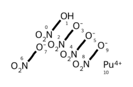 O=[N+]([O-])O.O=[N+]([O-])[O-].O=[N+]([O-])[O-].O=[N+]([O-])[O-].O=[N+]([O-])[O-].[Pu+4]